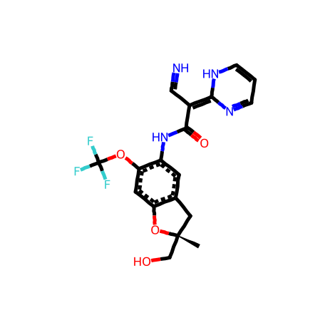 C[C@]1(CO)Cc2cc(NC(=O)/C(C=N)=C3\N=CC=CN3)c(OC(F)(F)F)cc2O1